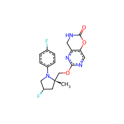 C[C@@]1(COc2ncc3c(n2)CNC(=O)O3)C[C@@H](F)CN1c1ccc(F)cc1